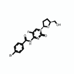 O=C(Nc1nc(=O)n([C@H]2CC[C@@H](CO)O2)cc1F)c1ccc(Br)cc1